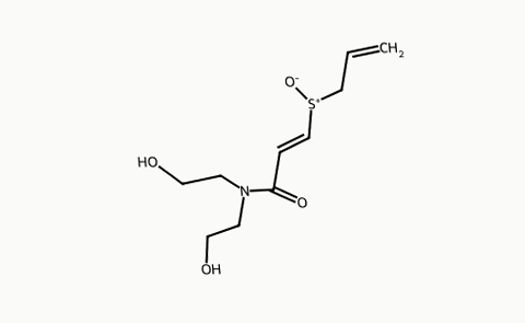 C=CC[S+]([O-])/C=C/C(=O)N(CCO)CCO